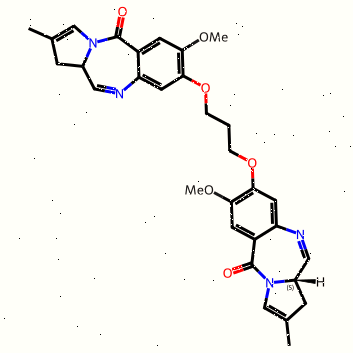 COc1cc2c(cc1OCCCOc1cc3c(cc1OC)C(=O)N1C=C(C)C[C@H]1C=N3)N=CC1CC(C)=CN1C2=O